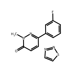 Cn1nc(-c2cccc(F)c2)ccc1=O.c1csnn1